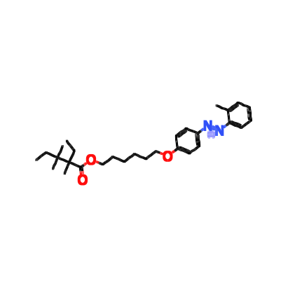 CCC(C)(C)C(C)(CC)C(=O)OCCCCCCOc1ccc(/N=N/c2ccccc2C)cc1